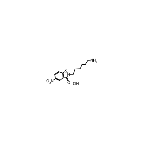 Cl.NCCCCCCn1sc2ccc([N+](=O)[O-])cc2c1=O